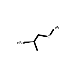 CCCC[C@H](C)COCCC